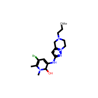 COCCN1CCn2nc(NC3=CC(Br)=C(C)N(C)C3O)cc2C1